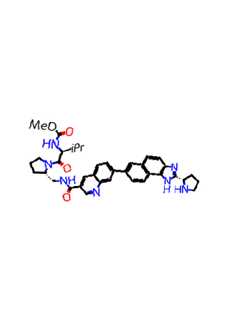 COC(=O)N[C@H](C(=O)N1CCC[C@H]1CNC(=O)c1cnc2cc(-c3ccc4c(ccc5nc([C@@H]6CCCN6)[nH]c54)c3)ccc2c1)C(C)C